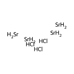 Cl.Cl.Cl.[SrH2].[SrH2].[SrH2].[SrH2]